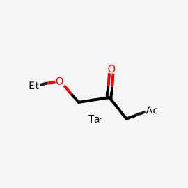 CCOCC(=O)CC(C)=O.[Ta]